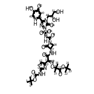 CC(C)(C)OC(=O)Nc1nc(C(=NOC(C)(C)C(=O)OC(C)(C)C)C(=O)N[C@H]2CN(C(=O)NS(=O)(=O)n3nc(-c4cc(=O)c(O)c[nH]4)n(C[C@@H](O)CO)c3=O)C2=O)cs1